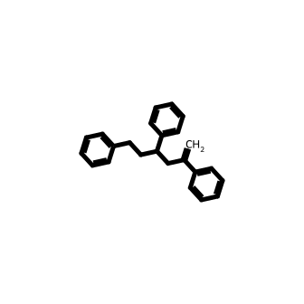 C=C(CC(CCc1ccccc1)c1ccccc1)c1ccccc1